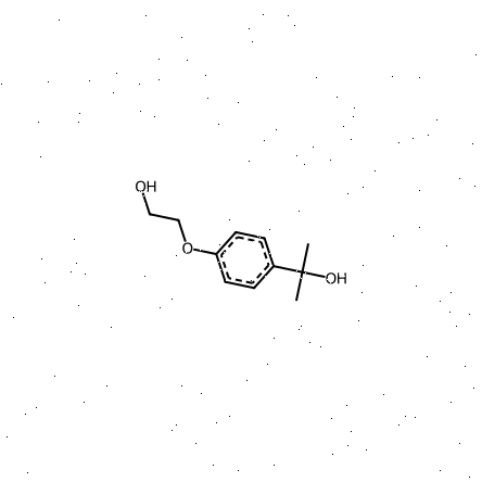 CC(C)(O)c1ccc(OCCO)cc1